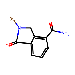 NC(=O)c1cccc2c1CN(Br)C2=O